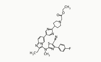 CCOC(=O)CN1CCC(c2ncc(-c3ccc4nc(CC)c(N(C)c5nc(-c6ccc(F)cc6)c(C#N)s5)n4c3)cn2)CC1